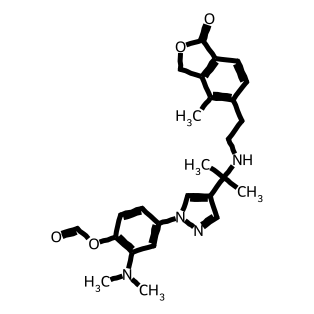 Cc1c(CCNC(C)(C)c2cnn(-c3ccc(OC=O)c(N(C)C)c3)c2)ccc2c1COC2=O